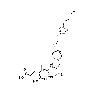 O=C(O)CC[C@H](NC(=O)NC(Cc1ccc(OCCn2cc(CCCF)nn2)cc1)C(=O)O)C(=O)O